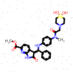 COC(=O)c1ccc2c(n1)NC(=O)C2=C(Nc1ccc(N(C)C(=O)CN2CCS(O)(O)CC2)cc1)c1ccccc1